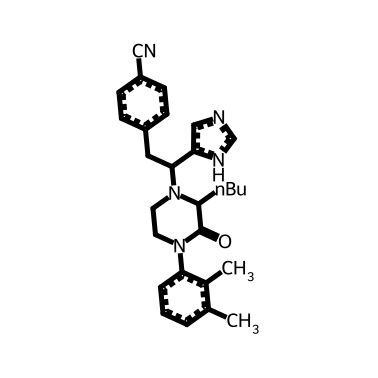 CCCCC1C(=O)N(c2cccc(C)c2C)CCN1C(Cc1ccc(C#N)cc1)c1cnc[nH]1